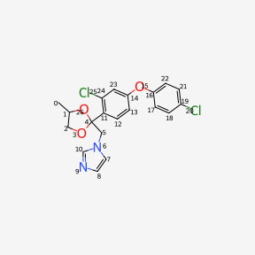 CC1COC(Cn2ccnc2)(c2ccc(Oc3ccc(Cl)cc3)cc2Cl)O1